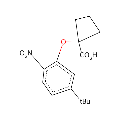 CC(C)(C)c1ccc([N+](=O)[O-])c(OC2(C(=O)O)CCC2)c1